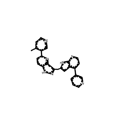 Cc1ccncc1-c1ccc2[nH]nc(-c3cc4c(-c5cccnc5)ccnc4[nH]3)c2n1